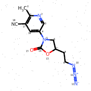 Cc1ncc(N2CC(CCN=[N+]=[N-])OC2=O)cc1C#N